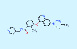 C=C/N=N\N(C)c1ccc2c(Oc3cccc(C(=O)NCc4ccncc4)c3C)ccnc2c1